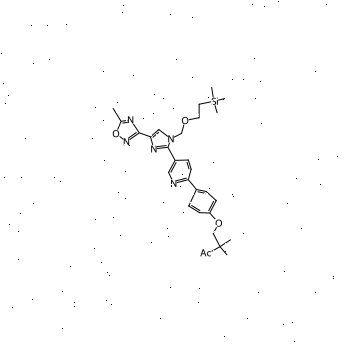 CC(=O)C(C)(C)COc1ccc(-c2ccc(-c3nc(-c4noc(C)n4)cn3COCC[Si](C)(C)C)cn2)cc1